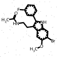 COc1cc2c(CCNC(C)=O)c(-c3cccc(F)c3)[nH]c2cc1Br